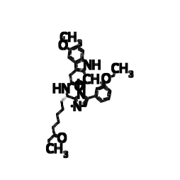 CCOc1cccc(C2=C[N+]=C([C@H](CCCCCC(=O)CC)NC(=O)Cc3c(C)[nH]c4ccc(OC)cc34)N2)c1